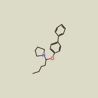 CCCCC(Oc1ccc(-c2ccccc2)cc1)N1CCCC1